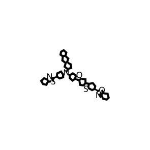 c1ccc2cc3cc(N(c4ccc(-c5nc6ccccc6s5)cc4)c4ccc5c(c4)oc4cc6c(cc45)sc4cc(-c5nc7ccccc7o5)ccc46)ccc3cc2c1